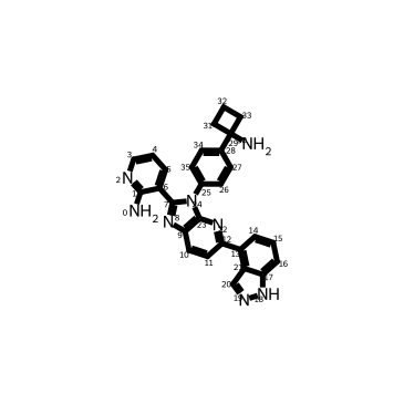 Nc1ncccc1-c1nc2ccc(-c3cccc4[nH]ncc34)nc2n1-c1ccc(C2(N)CCC2)cc1